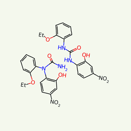 CCOc1ccccc1N(C(N)=O)c1ccc([N+](=O)[O-])cc1O.CCOc1ccccc1NC(=O)Nc1ccc([N+](=O)[O-])cc1O